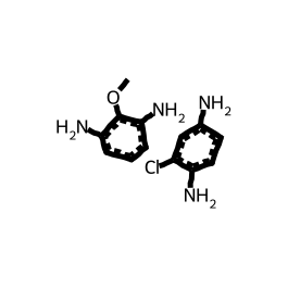 COc1c(N)cccc1N.Nc1ccc(N)c(Cl)c1